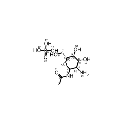 CC(=O)NC1O[C@H](CO)[C@@H](O)[C@H](O)[C@H]1N.O=P(O)(O)O